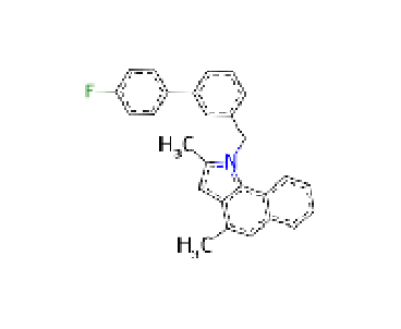 Cc1cc2ccccc2c2c1cc(C)n2Cc1cccc(-c2ccc(F)cc2)c1